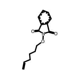 C=CCCCCON1C(=O)c2ccccc2C1=O